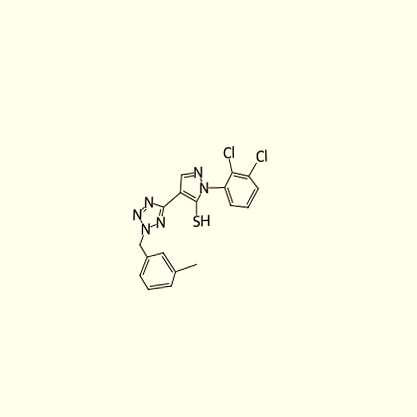 Cc1cccc(Cn2nnc(-c3cnn(-c4cccc(Cl)c4Cl)c3S)n2)c1